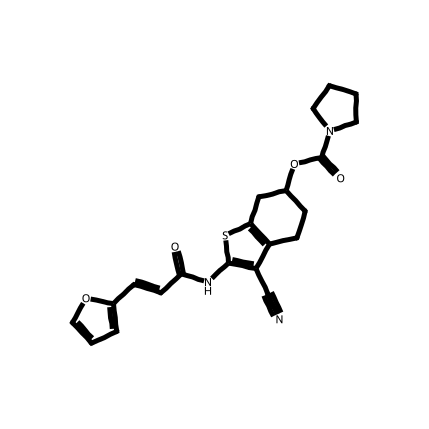 N#Cc1c(NC(=O)C=Cc2ccco2)sc2c1CCC(OC(=O)N1CCCC1)C2